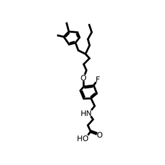 CCCCC(CCCOc1ccc(CNCCC(=O)O)cc1F)Cc1ccc(C)c(C)c1